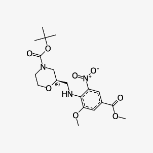 COC(=O)c1cc(OC)c(NC[C@@H]2CN(C(=O)OC(C)(C)C)CCO2)c([N+](=O)[O-])c1